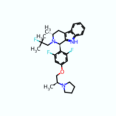 C[C@@H]1Cc2c([nH]c3ccccc23)[C@@H](c2c(F)cc(OC[C@H](C)N3CCCC3)cc2F)N1CC(C)(C)F